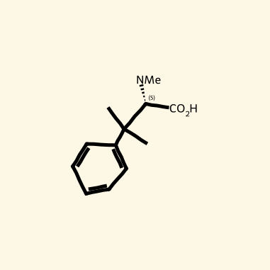 CN[C@H](C(=O)O)C(C)(C)c1ccccc1